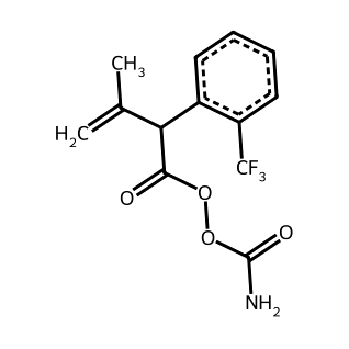 C=C(C)C(C(=O)OOC(N)=O)c1ccccc1C(F)(F)F